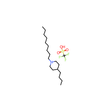 CCCCCCCCCN1CCC(CCCC)CC1.O=S(=O)(O)C(F)(F)F